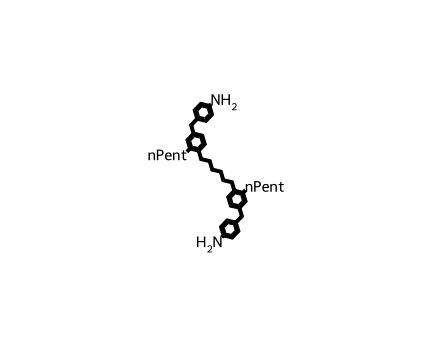 CCCCCc1cc(Cc2ccc(N)cc2)ccc1CCCCCCc1ccc(Cc2ccc(N)cc2)cc1CCCCC